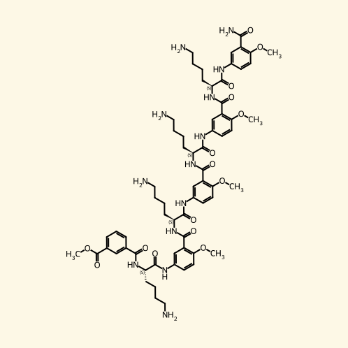 COC(=O)c1cccc(C(=O)N[C@@H](CCCCN)C(=O)Nc2ccc(OC)c(C(=O)N[C@@H](CCCCN)C(=O)Nc3ccc(OC)c(C(=O)N[C@@H](CCCCN)C(=O)Nc4ccc(OC)c(C(=O)N[C@@H](CCCCN)C(=O)Nc5ccc(OC)c(C(N)=O)c5)c4)c3)c2)c1